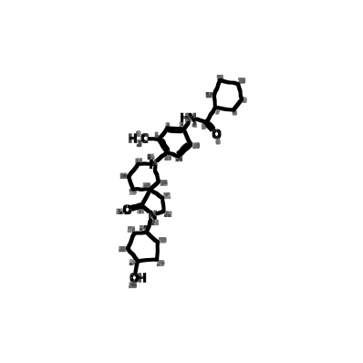 Cc1cc(NC(=O)C2CCCCC2)ccc1N1CCCC2(CCN(C3CCC(O)CC3)C2=O)C1